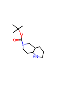 CC(C)(C)OC(=O)N1CCC2NCCCC2C1